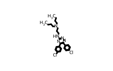 CCCCN(CCCC)CCCNc1nnc(-c2ccc(Cl)cc2)c(-c2ccc(Cl)cc2)n1